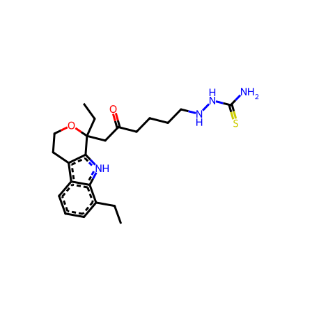 CCc1cccc2c3c([nH]c12)C(CC)(CC(=O)CCCCNNC(N)=S)OCC3